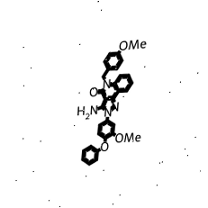 COc1ccc(Cn2c(=O)c3c(N)n(-c4ccc(Oc5ccccc5)c(OC)c4)nc3c3ccccc32)cc1